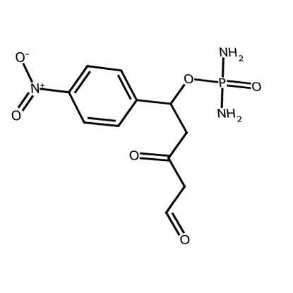 NP(N)(=O)OC(CC(=O)CC=O)c1ccc([N+](=O)[O-])cc1